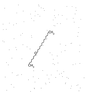 CCCCCC[CH]OCCCCCCCCCCCCC